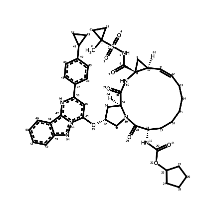 CC1(S(=O)(=O)NC(=O)[C@@]23C[C@H]2/C=C\CCCCC[C@H](NC(=O)OC2CCCC2)C(=O)N2C[C@H](Oc4cc(-c5ccc(C6CC6)cc5)nc5c6ccccc6nn45)C[C@H]2C(=O)N3)CC1